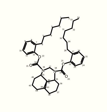 CCCCCCCc1ccccc1OC(=O)N(CN(C(=O)Oc1ccccc1CCCCCCC)C1CCCCC1)C1CCCCC1